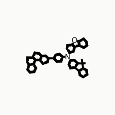 CC1(C)c2ccccc2-c2ccc(N(c3ccc(-c4ccc5c(ccc6ccc7ccccc7c65)c4)cc3)c3ccc4oc5ccccc5c4c3)cc21